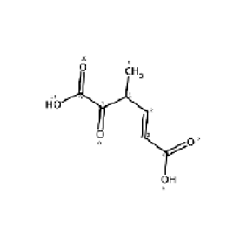 CC(/C=C/C(=O)O)C(=O)C(=O)O